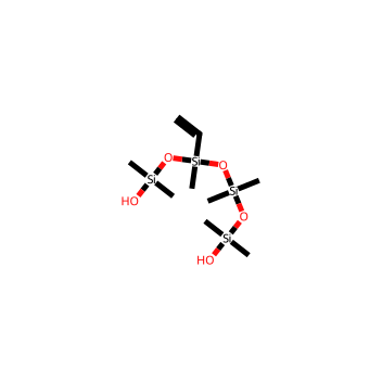 C=C[Si](C)(O[Si](C)(C)O)O[Si](C)(C)O[Si](C)(C)O